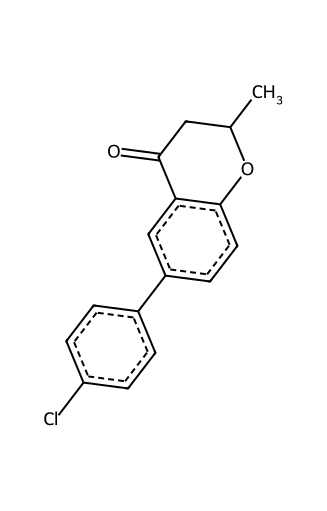 CC1CC(=O)c2cc(-c3ccc(Cl)cc3)ccc2O1